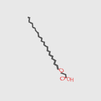 CCCCCCCCCCCCCCCCCCCCCCCOCCC(=O)O